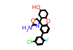 NC1=NC2(CO1)c1cc(-c3cc(Cl)ccc3F)ccc1OC1CCC(O)CC12